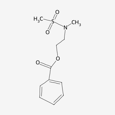 CN(CCOC(=O)c1ccccc1)S(C)(=O)=O